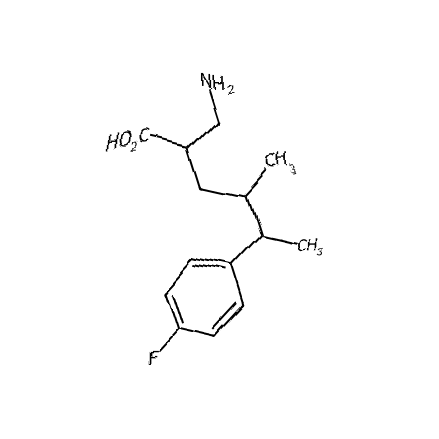 CC(CC(CN)C(=O)O)C(C)c1ccc(F)cc1